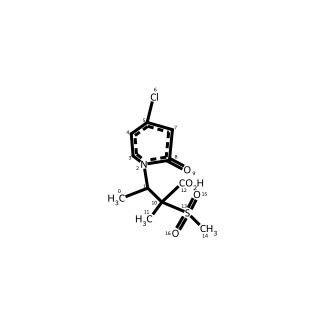 CC(n1ccc(Cl)cc1=O)C(C)(C(=O)O)S(C)(=O)=O